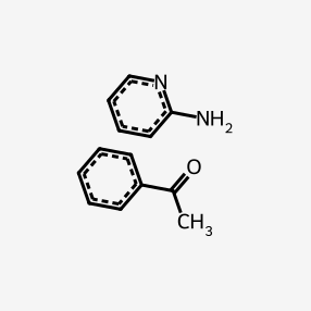 CC(=O)c1ccccc1.Nc1ccccn1